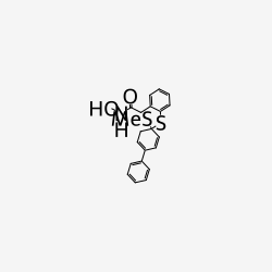 CSC1(Sc2ccccc2CC(=O)NO)C=CC(c2ccccc2)=CC1